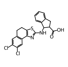 O=C(O)C1Cc2ccccc2C1Nc1nc2c(s1)CCc1cc(Cl)c(Cl)cc1-2